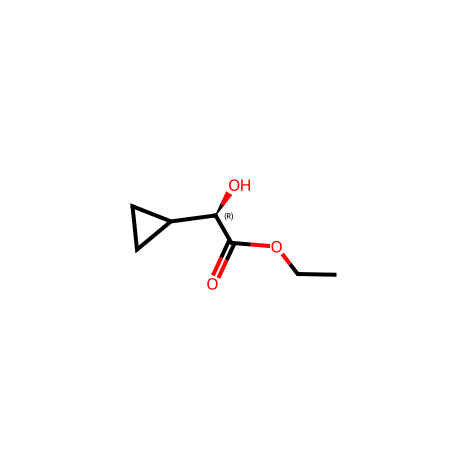 CCOC(=O)[C@H](O)C1CC1